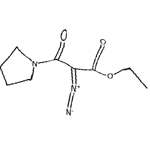 CCOC(=O)C(=[N+]=[N-])C(=O)N1CCCC1